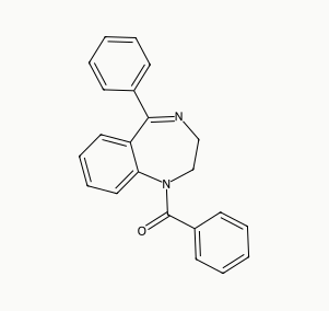 O=C(c1ccccc1)N1CCN=C(c2ccccc2)c2ccccc21